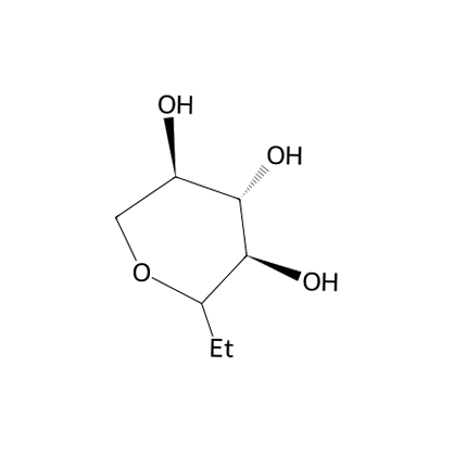 CCC1OC[C@@H](O)[C@H](O)[C@H]1O